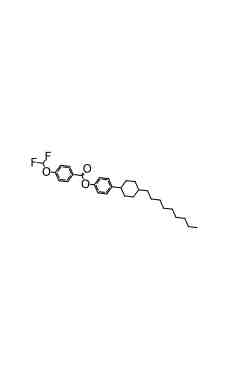 CCCCCCCCCC1CCC(c2ccc(OC(=O)c3ccc(OC(F)F)cc3)cc2)CC1